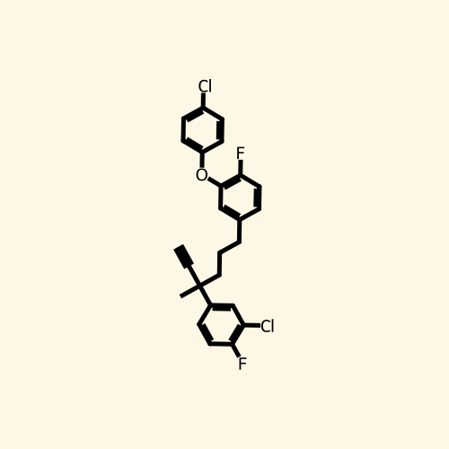 C#CC(C)(CCCc1ccc(F)c(Oc2ccc(Cl)cc2)c1)c1ccc(F)c(Cl)c1